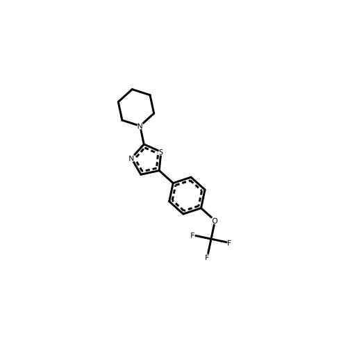 FC(F)(F)Oc1ccc(-c2cnc(N3CCCCC3)s2)cc1